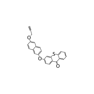 C#CCOc1ccc2cc(Oc3ccc4c(=O)c5ccccc5sc4c3)ccc2c1